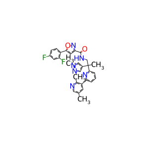 Cc1cnc(C)c(-c2cccc(C(C)(CNC(=O)c3cc(-c4ccc(F)cc4F)on3)c3cnn(C)c3)n2)c1